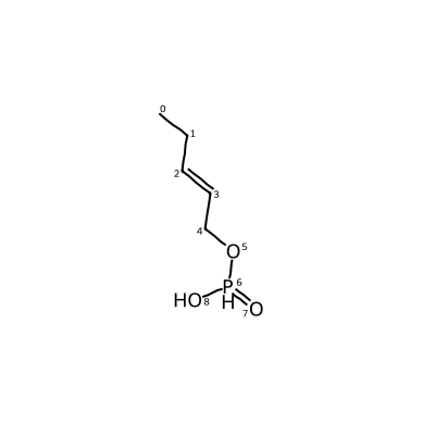 CCC=CCO[PH](=O)O